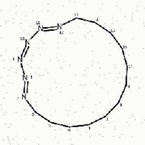 C1CCCCCC/N=N/N=N\N=N\CCCCC1